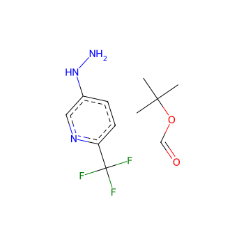 CC(C)(C)OC=O.NNc1ccc(C(F)(F)F)nc1